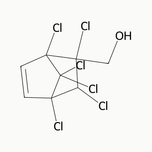 OCC1(Cl)C(Cl)C2(Cl)C=CC1(Cl)C2(Cl)Cl